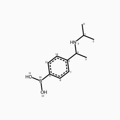 CC(C)NC(C)c1ccc(B(O)O)cc1